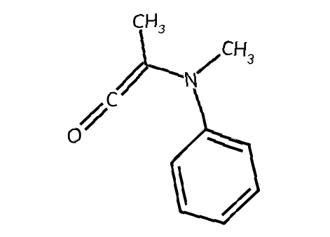 CC(=C=O)N(C)c1ccccc1